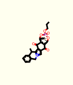 CCCOP1(=O)Oc2ccc(c3c2C(=O)c2cn4c(c2C3=O)C(C)c2ccccc2C4)O1